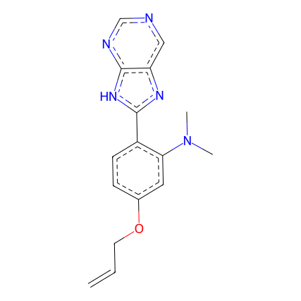 C=CCOc1ccc(-c2nc3cncnc3[nH]2)c(N(C)C)c1